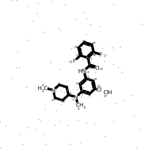 CN1CCC(N(C)c2cccc(NC(=O)c3c(F)cccc3F)c2)CC1.Cl.Cl